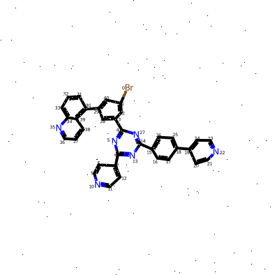 Brc1cc(-c2nc(-c3ccncc3)nc(-c3ccc(-c4ccncc4)cc3)n2)cc(-c2cccc3ncccc23)c1